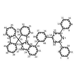 c1ccc(-c2nc(-c3ccccc3)nc(-c3cccc(-c4cccc5nc6n(c45)-c4ccccc4C64c5ccccc5-c5ccccc54)c3)n2)cc1